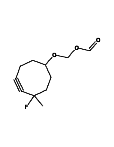 CC1(F)C#CCCC(OCOC=O)CC1